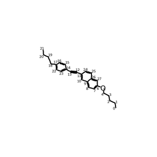 CCCCCOc1ccc2cc(C#Cc3ccc(CCCC)cc3)ccc2c1